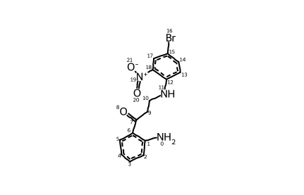 Nc1ccccc1C(=O)CCNc1ccc(Br)cc1[N+](=O)[O-]